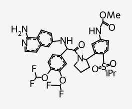 COC(=O)Nc1ccc(S(=O)(=O)C(C)C)c(C2CCCN2C(=O)C(Nc2ccc3c(N)nccc3c2)c2ccc(OC(F)F)c(OC(F)F)c2)c1